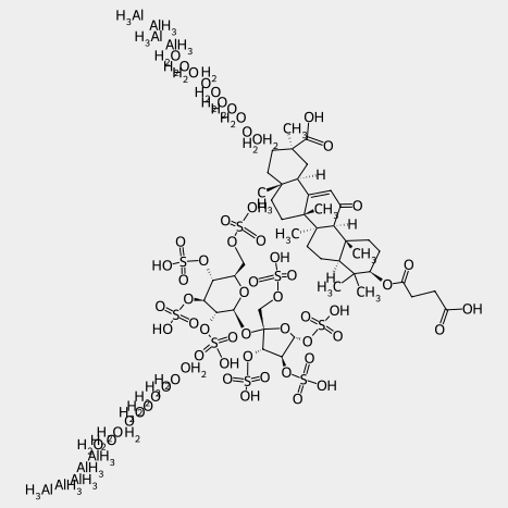 CC1(C)[C@H]2CC[C@]3(C)[C@@H](C(=O)C=C4[C@@H]5C[C@](C)(C(=O)O)CC[C@@]5(C)CC[C@]43C)[C@]2(C)CC[C@H]1OC(=O)CCC(=O)O.O.O.O.O.O.O.O.O.O.O.O.O.O.O.O.O.O.O.O.O.O=S(=O)(O)OC[C@H]1O[C@@H](O[C@]2(COS(=O)(=O)O)O[C@H](OS(=O)(=O)O)[C@@H](OS(=O)(=O)O)[C@@H]2OS(=O)(=O)O)[C@H](OS(=O)(=O)O)[C@@H](OS(=O)(=O)O)[C@@H]1OS(=O)(=O)O.[AlH3].[AlH3].[AlH3].[AlH3].[AlH3].[AlH3].[AlH3].[AlH3].[AlH3]